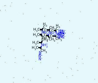 CC(C)[NH2+]C(C)C.CC(C)[NH2+]C(C)C.CC(C)[NH2+]C(C)C.CC(C)[NH2+]C(C)C.[N-]=[N+]=[N-].[N-]=[N+]=[N-].[N-]=[N+]=[N-].[N-]=[N+]=[N-]